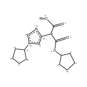 COC(=O)C(C(=O)OC1CCCC1)c1cn(C2CCCC2)cn1